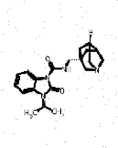 CC(C)n1c(=O)n(C(=O)NC[C@@]23CC4CN(C[C@@H]4C2)C3)c2ccccc21